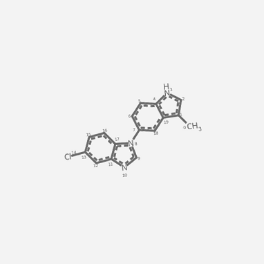 Cc1c[nH]c2ccc(-n3cnc4cc(Cl)ccc43)cc12